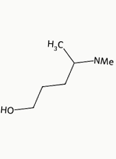 CNC(C)CCCO